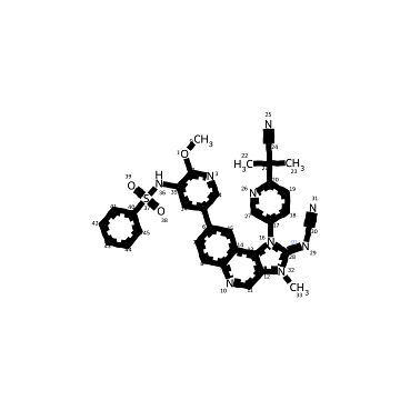 COc1ncc(-c2ccc3ncc4c(c3c2)n(-c2ccc(C(C)(C)C#N)nc2)/c(=N\C#N)n4C)cc1NS(=O)(=O)c1ccccc1